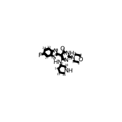 O=c1[nH]c(N2CCOCC2)nc(NC2CCCNC2)c1-c1nc2ccc(F)cc2s1